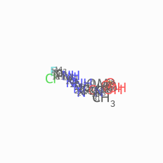 COc1cc2c(Nc3cnc(CNc4ccc(F)c(Cl)c4)nc3)ncnc2cc1OCC(C)N1CCC(OP(=O)(O)O)CC1